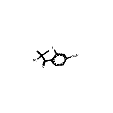 COc1ccc(C(=O)C(C)(C)C#N)c(F)c1